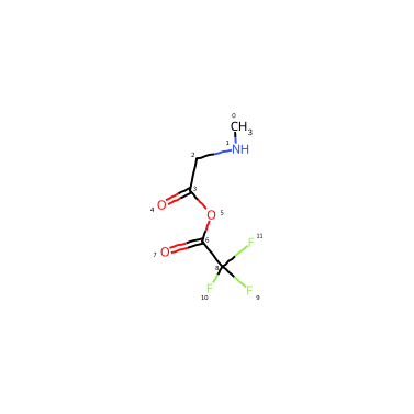 CNCC(=O)OC(=O)C(F)(F)F